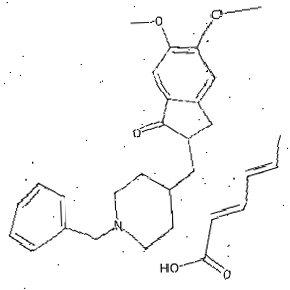 CC=CC=CC(=O)O.COc1cc2c(cc1OC)C(=O)C(CC1CCN(Cc3ccccc3)CC1)C2